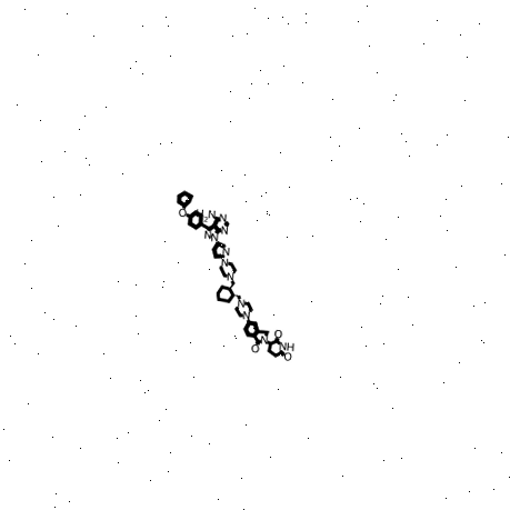 Nc1ncnc2c1c(-c1ccc(Oc3ccccc3)cc1)nn2-c1ccc(N2CCN(C[C@@H]3CCCC[C@H]3CN3CCN(c4ccc5c(c4)CN(C4CCC(=O)NC4=O)C5=O)CC3)CC2)nc1